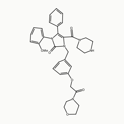 COc1ccccc1-n1c(-c2ccccc2)c(C(=O)N2CCNCC2)n(Cc2cccc(OCC(=O)N3CCOCC3)c2)c1=O